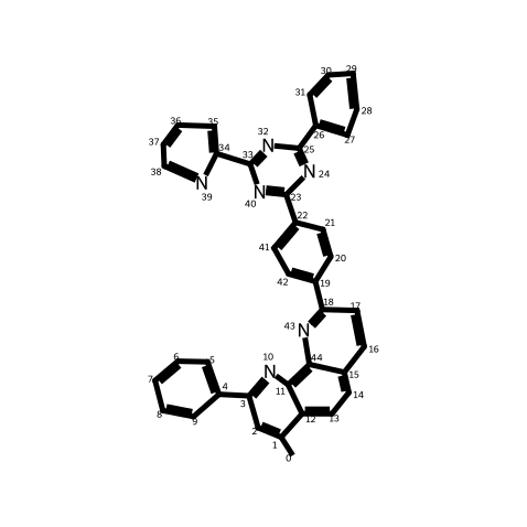 Cc1cc(-c2ccccc2)nc2c1ccc1ccc(-c3ccc(-c4nc(-c5ccccc5)nc(-c5ccccn5)n4)cc3)nc12